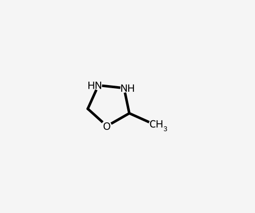 CC1NNCO1